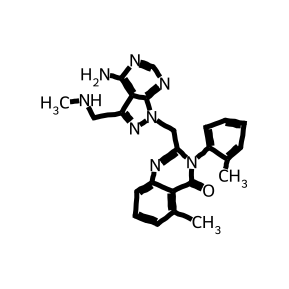 CNCc1nn(Cc2nc3cccc(C)c3c(=O)n2-c2ccccc2C)c2ncnc(N)c12